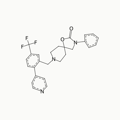 O=C1OC2(CCN(Cc3cc(C(F)(F)F)ccc3-c3ccncc3)CC2)CN1c1ccccc1